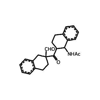 CC(=O)NC1c2ccccc2CCC1C(=O)C1([C]=O)CCc2ccccc2C1